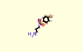 NCCCNS(=O)(=O)c1ccc(Br)cc1